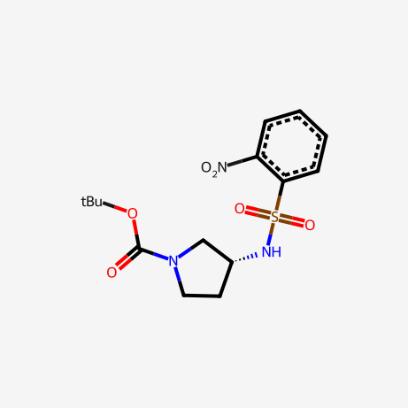 CC(C)(C)OC(=O)N1CC[C@@H](NS(=O)(=O)c2ccccc2[N+](=O)[O-])C1